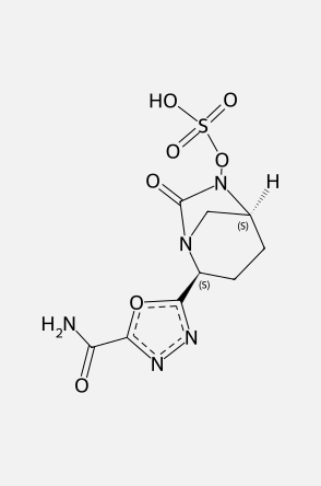 NC(=O)c1nnc([C@@H]2CC[C@H]3CN2C(=O)N3OS(=O)(=O)O)o1